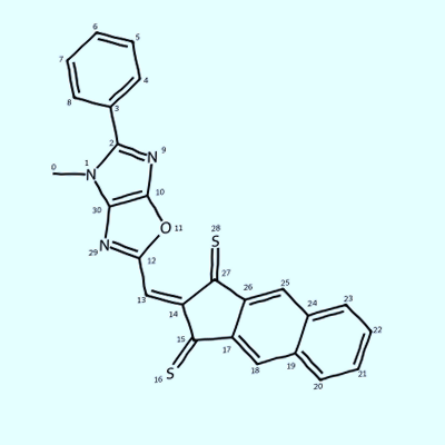 Cn1c(-c2ccccc2)nc2oc(C=C3C(=S)c4cc5ccccc5cc4C3=S)nc21